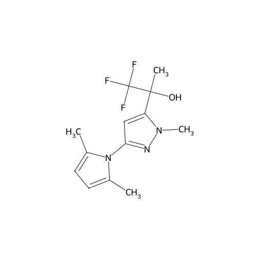 Cc1ccc(C)n1-c1cc(C(C)(O)C(F)(F)F)n(C)n1